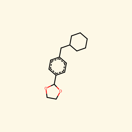 c1cc(C2OCCO2)ccc1CC1CCCCC1